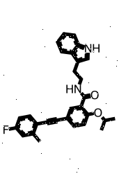 Cc1cc(F)ccc1C#Cc1ccc(OC(C)C)c(C(=O)NCCc2c[nH]c3ccccc23)c1